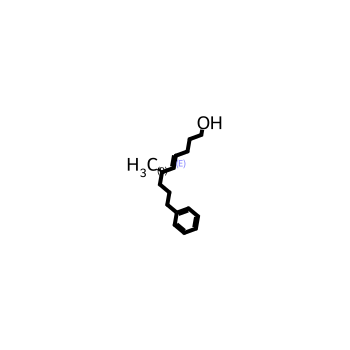 C[C@@H](/C=C/CCCO)CCCc1ccccc1